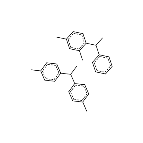 Cc1ccc(C(C)c2ccc(C)cc2)cc1.Cc1ccc(C(C)c2ccccc2)c(C)c1